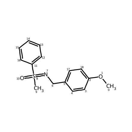 COc1ccc(CN=S(C)(=O)c2ccccc2)cc1